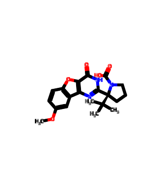 COc1ccc2oc3c(=O)[nH]c([C@@]4(C(C)(C)C)CCCN4C(=O)O)nc3c2c1